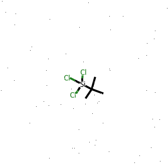 CC(C)(C)[Si](Cl)(Cl)Cl